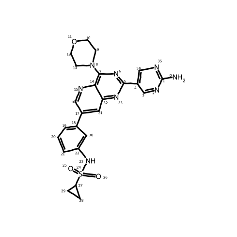 Nc1ncc(-c2nc(N3CCOCC3)c3ncc(-c4cccc(NS(=O)(=O)C5CC5)c4)cc3n2)cn1